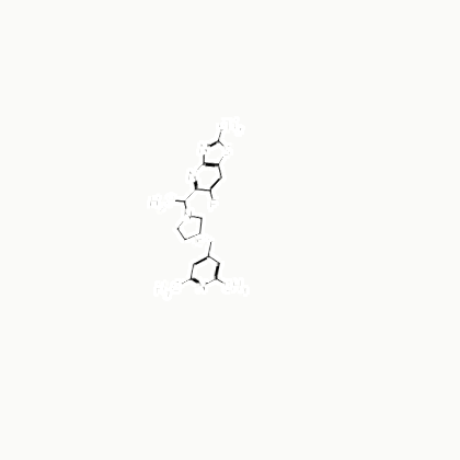 Cc1cc(C[C@@H]2CCN(C(C)c3nc4nc(C)sc4cc3F)C2)cc(C)n1